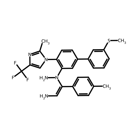 CSc1cccc(-c2ccc(-n3cc(C(F)(F)F)nc3C)c(N(N)/C(=C\N)c3ccc(C)cc3)c2)c1